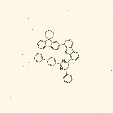 c1ccc(-c2ccc(-c3nc(-c4ccccc4)cc(-c4cccc5c4sc4c(-c6ccc7c(c6)C6(CCCCC6)c6ccccc6-7)cccc45)n3)cc2)cc1